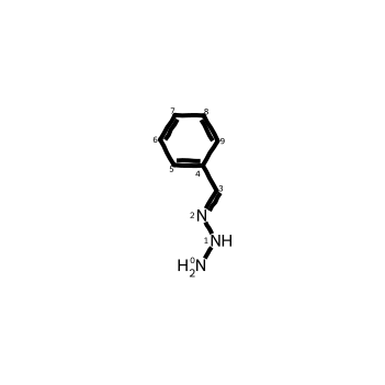 NN/N=C/c1ccccc1